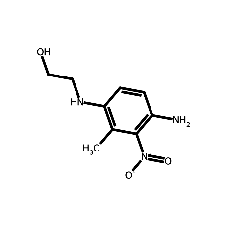 Cc1c(NCCO)ccc(N)c1[N+](=O)[O-]